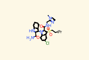 CC(C)CCS(=O)(=O)c1c(C(=O)NCc2nccn2C)n(-c2c(C(N)=O)[nH]c3ccccc23)c2ccc(Cl)cc12